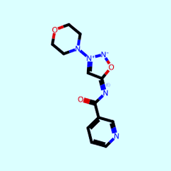 O=C(/N=c1\c[n+](N2CCOCC2)[n-]o1)c1cccnc1